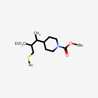 CCOC(=O)C(CSC(C)=O)C(C)C1CCN(C(=O)OC(C)(C)C)CC1